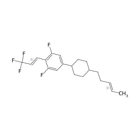 C/C=C/CCC1CCC(c2cc(F)c(/C=C/C(F)(F)F)c(F)c2)CC1